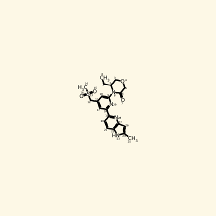 CC[C@H]1COCC(=O)N1c1cc(CS(C)(=O)=O)cc(-c2ccc3[nH]c(C)cc3n2)n1